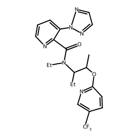 CCC(C(C)Oc1ccc(C(F)(F)F)cn1)N(CC)C(=O)c1ncccc1-n1nccn1